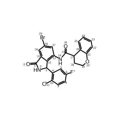 O=C1NC(c2cc(F)ccc2Cl)c2c(NC(=O)C3CCOc4ccccc43)cc(Br)cc21